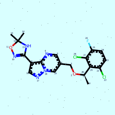 C[C@@H](OCc1cnc2c(C3=NOC(C)(C)N3)cnn2c1)c1c(Cl)ccc(F)c1Cl